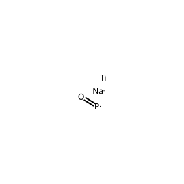 O=[P].[Na].[Ti]